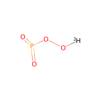 [2H]OOP(=O)=O